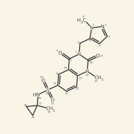 Cn1nccc1Cn1c(=O)c2cc(S(=O)(=O)NC3(C)CC3)ccc2n(C)c1=O